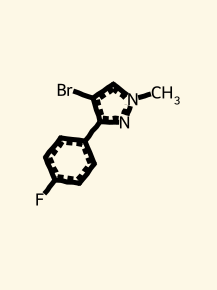 Cn1cc(Br)c(-c2ccc(F)cc2)n1